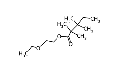 CCOCCOC(=O)C(C)(C)C(C)(C)CC